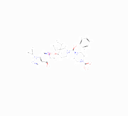 O=C1c2cnn(C3CC3)c2C=NC1CC1(O)CCN(C(=O)N2CCN(C(=O)O)C[C@H]2c2ccccc2)CC12CCCC2